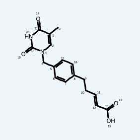 Cc1cn(Cc2ccc(CCC=CC(=O)O)cc2)c(=O)[nH]c1=O